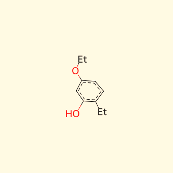 CCOc1ccc(CC)c(O)c1